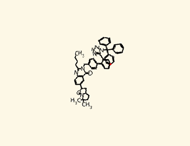 CCCCc1nc2ccc(C3CC4CCC(C)(C)N4O3)cc2c(=O)n1Cc1ccc(-c2ccccc2-c2nnnn2C(c2ccccc2)(c2ccccc2)c2ccccc2)cc1